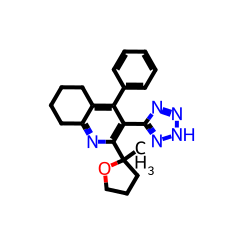 CC1(c2nc3c(c(-c4ccccc4)c2-c2nn[nH]n2)CCCC3)CCCO1